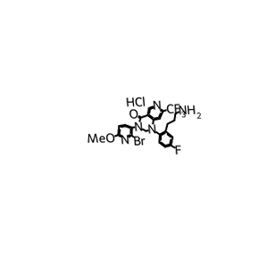 COc1ccc(N2CN(c3ccc(F)cc3CCCN)c3cc(C(F)(F)F)ncc3C2=O)c(Br)n1.Cl